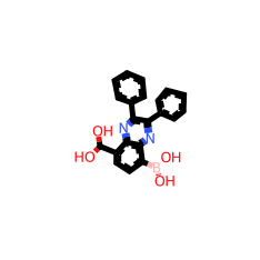 OB(O)c1ccc(C(O)O)c2nc(-c3ccccc3)c(-c3ccccc3)nc12